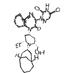 CC[C@@H]1C[C@H](n2c(=O)c(-n3ncc(=O)[nH]c3=O)nc3ccccc32)C[C@H](CO)N1[C@@H]1C[C@@H]2CCCC[C@@H](C2)C1